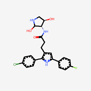 O=C(CCc1cc(-c2ccc(F)cc2)[nH]c1-c1ccc(Cl)cc1)N[C@@H]1C(O)NC[C@H]1O